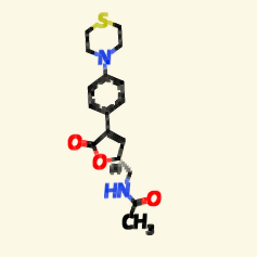 CC(=O)NC[C@H]1C=C(c2ccc(N3CCSCC3)cc2)C(=O)O1